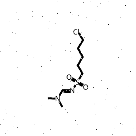 CN(C)/C=N/S(=O)(=O)CCCCCCl